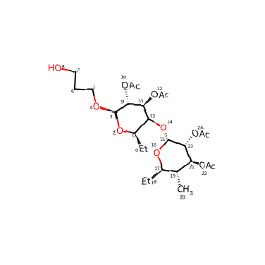 CC[C@H]1O[C@@H](OCCCO)[C@H](OC(C)=O)[C@@H](OC(C)=O)C1O[C@H]1O[C@H](CC)[C@@H](C)[C@H](OC(C)=O)[C@H]1OC(C)=O